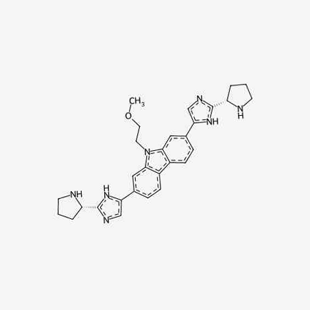 COCCn1c2cc(-c3cnc([C@@H]4CCCN4)[nH]3)ccc2c2ccc(-c3cnc([C@@H]4CCCN4)[nH]3)cc21